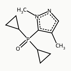 Cc1cnn(C)c1P(=O)(C1CC1)C1CC1